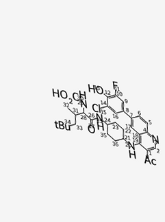 CC(=O)c1cnc2ccc(-c3cc(F)c(O)c(Cl)c3)cc2c1NC1CCC(NC(=O)C(NC(=O)O)C(C)CC(C)(C)C)CC1